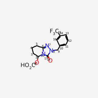 O=C(O)OC1CCCc2nn(Cc3cccc(C(F)(F)F)c3)c(=O)n21